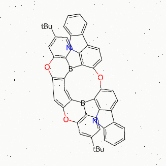 CC(C)(C)c1cc2c3c(c1)-n1c4ccccc4c4ccc5c(c41)B3c1cc3c(cc1O2)Oc1cc(C(C)(C)C)cc2c1B3c1c(ccc3c4ccccc4n-2c13)O5